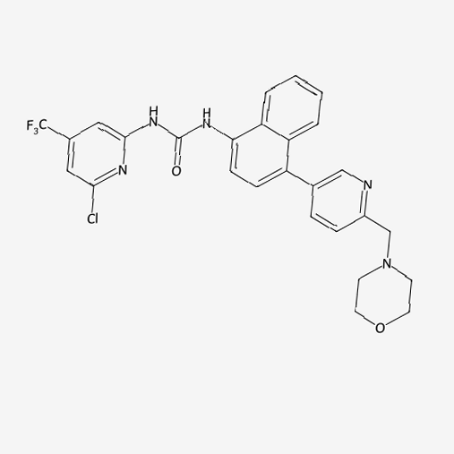 O=C(Nc1cc(C(F)(F)F)cc(Cl)n1)Nc1ccc(-c2ccc(CN3CCOCC3)nc2)c2ccccc12